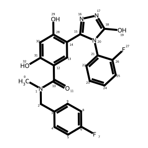 CN(Cc1ccc(F)cc1)C(=O)c1cc(-c2nnc(O)n2-c2ccccc2F)c(O)cc1O